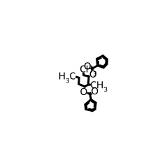 CCCC(OC(=O)c1ccccc1)C(C)C(CC)OC(=O)c1ccccc1